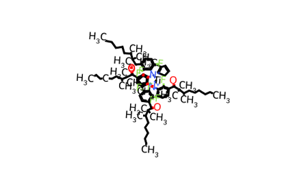 CCCCCCC(C)C(C)(C)C(=O)c1ccc(F)c([N+]([Ti][N+](C2=C(C)C=CC2)(c2c(F)ccc(C(=O)C(C)(C)C(C)CCCCCC)c2F)c2c(F)ccc(C(=O)C(C)(C)C(C)CCCCCC)c2F)(C2=C(C)C=CC2)c2c(F)ccc(C(=O)C(C)(C)C(C)CCCCCC)c2F)c1F